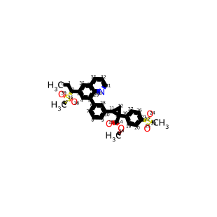 CCC(c1cc(-c2cccc(C3CC3(C(=O)OC)c3ccc(S(C)(=O)=O)cc3)c2)c2ncccc2c1)S(C)(=O)=O